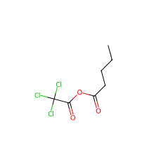 CCCCC(=O)OC(=O)C(Cl)(Cl)Cl